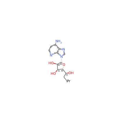 CC(C)C[C@H](O)[C@H]1O[C@@H](n2cnc3c(N)ccnc32)[C@H](O)[C@@H]1O